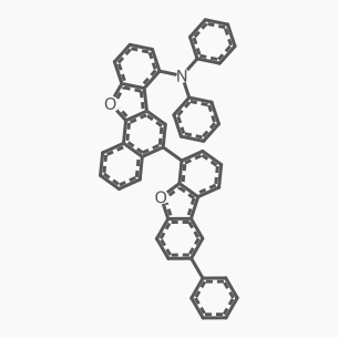 c1ccc(-c2ccc3oc4c(-c5cc6c(oc7cccc(N(c8ccccc8)c8ccccc8)c76)c6ccccc56)cccc4c3c2)cc1